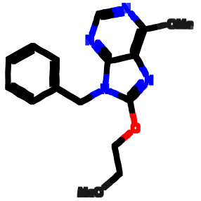 COCCOc1nc2c(OC)ncnc2n1Cc1ccccc1